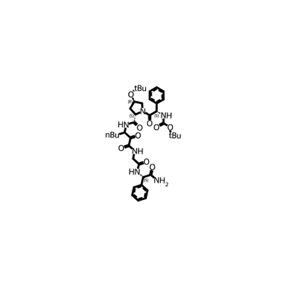 CCCCC(NC(=O)[C@@H]1C[C@@H](OC(C)(C)C)CN1C(=O)[C@@H](NC(=O)OC(C)(C)C)c1ccccc1)C(=O)C(=O)NCC(=O)N[C@H](C(N)=O)c1ccccc1